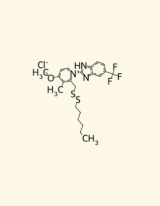 CCCCCCSSCc1c(C)c(OC)cc[n+]1-c1nc2cc(C(F)(F)F)ccc2[nH]1.[Cl-]